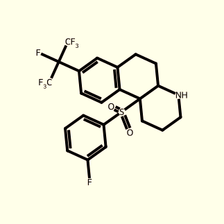 O=S(=O)(c1cccc(F)c1)C12CCCNC1CCc1cc(C(F)(C(F)(F)F)C(F)(F)F)ccc12